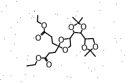 CCOC(=O)CCC1(CCC(=O)OCC)OCC(C2OC(C)(C)OC2C2COC(C)(C)O2)O1